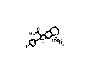 CS(=O)(=O)N1CCCCc2cc3c(C(=O)O)c(-c4ccc(F)cc4)oc3cc21